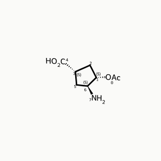 CC(=O)O[C@H]1C[C@@H](C(=O)O)C[C@@H]1N